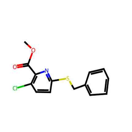 COC(=O)c1nc(SCc2ccccc2)ccc1Cl